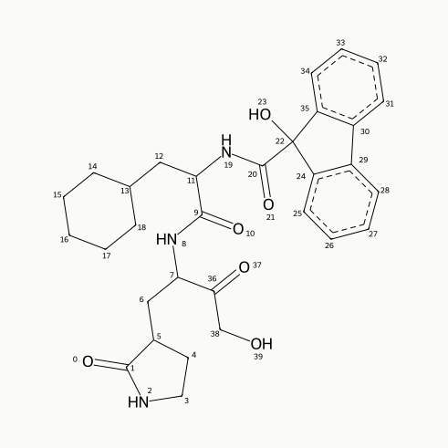 O=C1NCCC1CC(NC(=O)C(CC1CCCCC1)NC(=O)C1(O)c2ccccc2-c2ccccc21)C(=O)CO